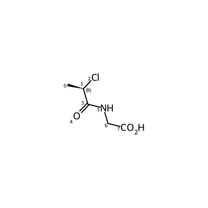 C[C@@H](Cl)C(=O)NCC(=O)O